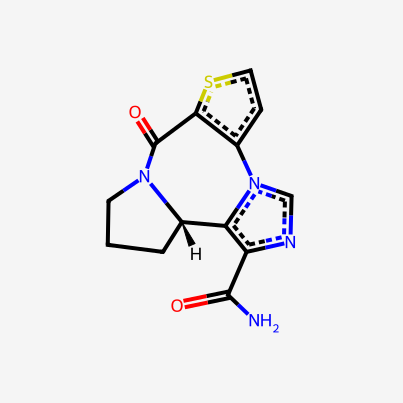 NC(=O)c1ncn2c1[C@@H]1CCCN1C(=O)c1sccc1-2